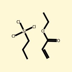 C=CC(=O)OCC.CCC[Si](Cl)(Cl)Cl